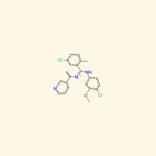 C=C(/N=C(/Nc1ccc(Cl)c(OC)c1)c1cc(Cl)ccc1C)c1cccnc1